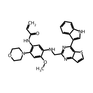 C=CC(=O)Nc1cc(NCc2nc(-c3c[nH]c4ccccc34)c3sccc3n2)c(OC)cc1N1CCOCC1